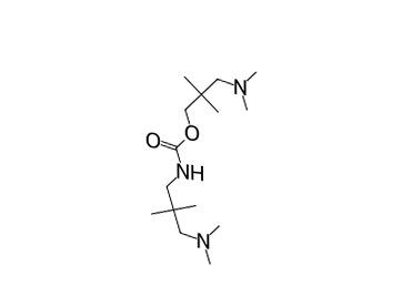 CN(C)CC(C)(C)CNC(=O)OCC(C)(C)CN(C)C